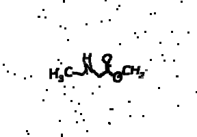 [CH2]OC(=O)CNCC